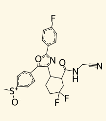 C[S+]([O-])c1ccc(-c2oc(-c3ccc(F)cc3)nc2C2CCC(F)(F)CC2C(=O)NCC#N)cc1